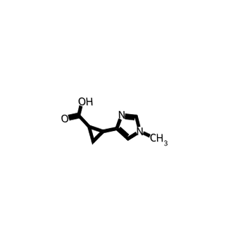 Cn1cnc(C2CC2C(=O)O)c1